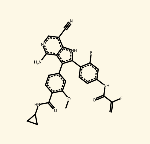 C=C(F)C(=O)Nc1ccc(-c2[nH]c3c(C#N)cnc(N)c3c2-c2ccc(C(=O)NC3CC3)c(OC)c2)c(F)c1